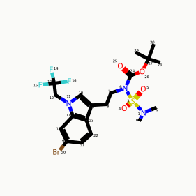 CN(C)S(=O)(=O)N(CCc1cn(CC(F)(F)F)c2cc(Br)ccc12)C(=O)OC(C)(C)C